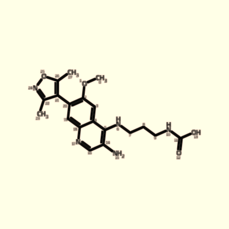 COc1cc2c(NCCCNC(=O)O)c(N)cnc2cc1-c1c(C)noc1C